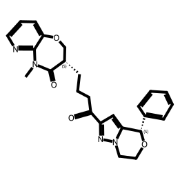 CN1C(=O)[C@@H](CCCC(=O)c2cc3n(n2)CCO[C@H]3c2ccccc2)COc2cccnc21